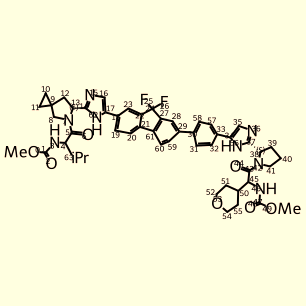 COC(=O)NC(C(=O)N1CC2(CC2)C[C@H]1c1ncc(-c2ccc3c(c2)C(F)(F)c2cc(-c4ccc(-c5cnc([C@@H]6CCCN6C(=O)C(NC(=O)OC)C6CCOCC6)[nH]5)cc4)ccc2-3)[nH]1)C(C)C